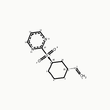 C=C[C@@H]1CCC[C@@H](S(=O)(=O)c2ncccn2)C1